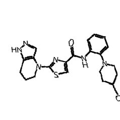 O=C(Nc1ccccc1N1CCC(O)CC1)c1csc(N2CCCc3[nH]ncc32)n1